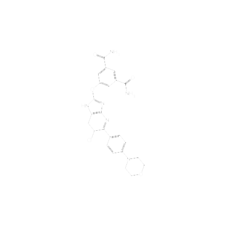 NC(=O)c1cc(Oc2nc3c([nH]2)CC(Cl)C(c2ccc(N4CCOCC4)cc2)=N3)cc(C(N)=O)c1